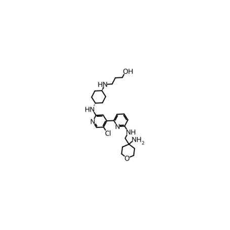 NC1(CNc2cccc(-c3cc(N[C@H]4CC[C@H](NCCCO)CC4)ncc3Cl)n2)CCOCC1